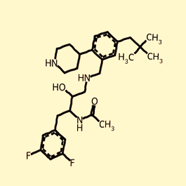 CC(=O)NC(Cc1cc(F)cc(F)c1)C(O)CNCc1cc(CC(C)(C)C)ccc1C1CCNCC1